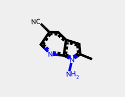 Cc1cc2cc(C#N)cnc2n1N